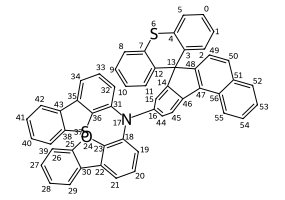 c1ccc2c(c1)Sc1ccccc1C21c2cc(N(c3cccc4c3oc3ccccc34)c3cccc4c3sc3ccccc34)ccc2-c2c1ccc1ccccc21